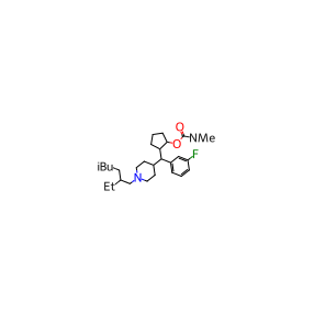 CCC(C)CC(CC)CN1CCC(C(c2cccc(F)c2)C2CCCC2OC(=O)NC)CC1